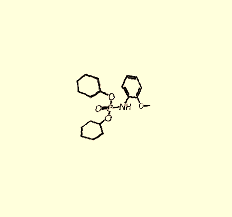 COc1ccccc1NP(=O)(OC1CCCCC1)OC1CCCCC1